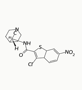 O=C(N[C@H]1CN2CCC1CC2)C1=C(Cl)C2C=CC([N+](=O)[O-])=CC2S1